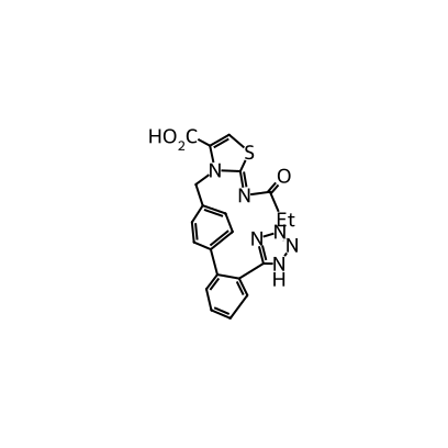 CCC(=O)N=c1scc(C(=O)O)n1Cc1ccc(-c2ccccc2-c2nnn[nH]2)cc1